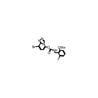 COc1cccc(F)c1CNC(=O)Oc1ccc(Br)c2nncn12